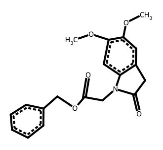 COc1cc2c(cc1OC)N(CC(=O)OCc1ccccc1)C(=O)C2